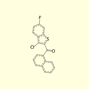 O=C(c1sc2cc(F)ccc2c1Cl)c1cccc2ccccc12